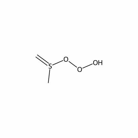 C=S(C)OOO